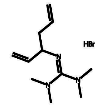 Br.C=CCC(C=C)N=C(N(C)C)N(C)C